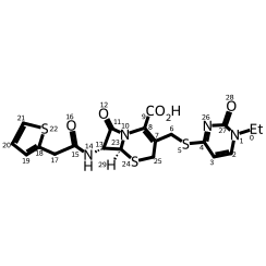 CCn1ccc(SCC2=C(C(=O)O)N3C(=O)[C@@H](NC(=O)Cc4cccs4)[C@@H]3SC2)nc1=O